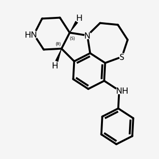 c1ccc(Nc2ccc3c4c2SCCCN4[C@H]2CCNC[C@@H]32)cc1